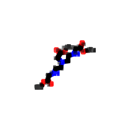 CC(C)(C)OC(=O)CNCCN(CCNCC(=O)OC(C)(C)C)CC(=O)OC(C)(C)C